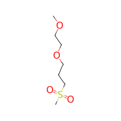 COCCOCCCS(C)(=O)=O